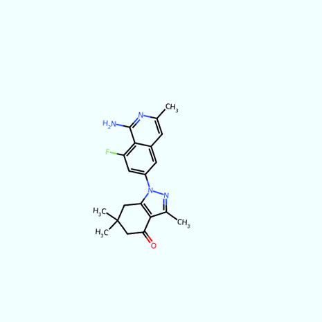 Cc1cc2cc(-n3nc(C)c4c3CC(C)(C)CC4=O)cc(F)c2c(N)n1